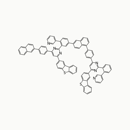 c1cncc(-c2ccccc2-c2nc(-c3ccc(-c4cccc5cc(-c6ccc(-c7cccnc7)c(-c7nc(-c8ccc(-c9ccc%10ccccc%10c9)cc8)cc(-c8ccc9sc%10ccccc%10c9c8)n7)c6)ccc45)cc3)cc(-c3ccc4sc5ccccc5c4c3)n2)c1